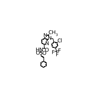 Cc1nc2ccc(C(=O)NS(=O)(=O)C=Cc3ccccc3)nc2n1Cc1ccc(C(F)(F)F)cc1Cl